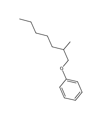 CCCCCC(C)COc1ccccc1